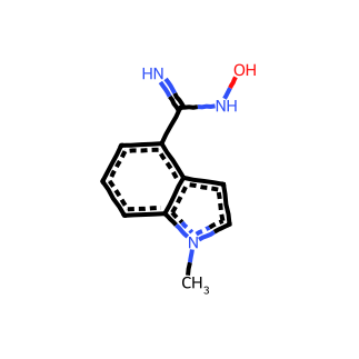 Cn1ccc2c(C(=N)NO)cccc21